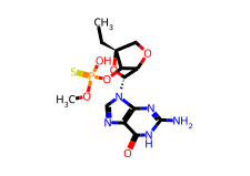 CC[C@@]12COC(C1OP(O)(=S)OC)[C@H](n1cnc3c(=O)[nH]c(N)nc31)O2